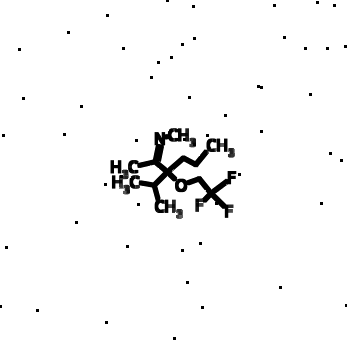 CCCC(OCC(F)(F)F)(/C(C)=N\C)C(C)C